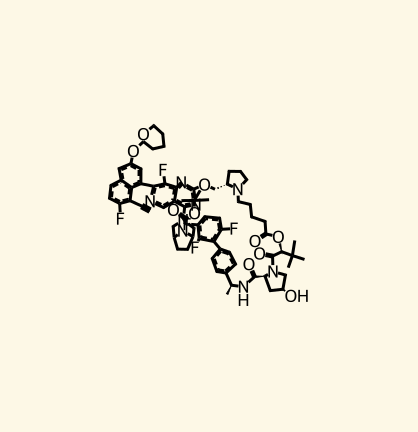 C#Cc1c(F)ccc2cc(OC3CCCCO3)cc(-c3ncc4c(N5CC6CCC(C5)N6C(=O)OC(C)(C)C)nc(OC[C@@H]5CCCN5CCCCC(=O)O[C@H](C(=O)N5C[C@H](O)C[C@H]5C(=O)N[C@@H](C)c5ccc(-c6c(F)ccc(F)c6F)cc5)C(C)(C)C)nc4c3F)c12